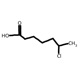 CC(Cl)CCCCC(=O)O